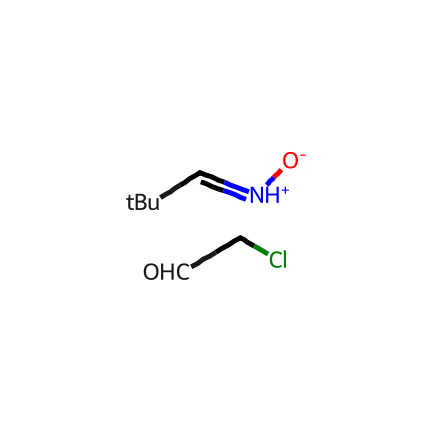 CC(C)(C)C=[NH+][O-].O=CCCl